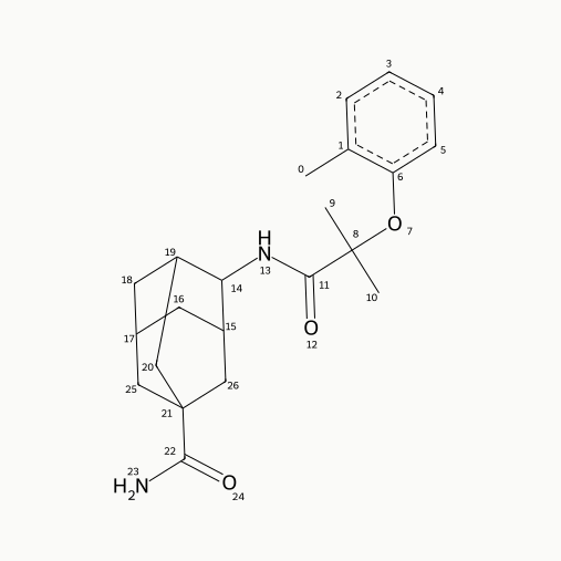 Cc1ccccc1OC(C)(C)C(=O)NC1C2CC3CC1CC(C(N)=O)(C3)C2